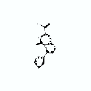 C=C(O)c1nc2scc(-c3ccco3)c2c(=O)[nH]1